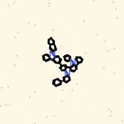 c1ccc(-c2cccc(-n3c4ccc(-c5ccc6c(c5)c5ccccc5n6-c5ccc6ccccc6c5)cc4c4c3ccc3c5ccccc5n(-c5ccccc5)c34)c2)cc1